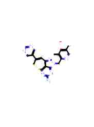 COc1c(C)cnc(Cn2nc3c4c(nc(N)nc42)SCC(c2cncnc2)=C3)c1C